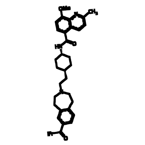 COc1ccc(C(=O)N[C@H]2CC[C@H](CCN3CCc4ccc(C(=O)C(C)C)cc4CC3)CC2)c2ccc(C)nc12